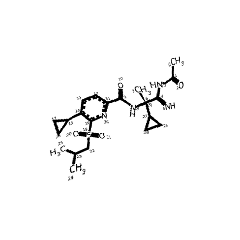 CC(=O)NC(=N)[C@@](C)(NC(=O)c1ccc(C2CC2)c(S(=O)(=O)CC(C)C)n1)C1CC1